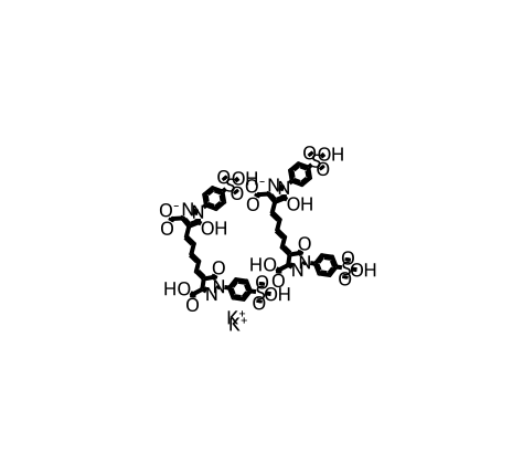 O=C(O)C1=NN(c2ccc(S(=O)(=O)O)cc2)C(=O)C1=CC=CC=Cc1c(C(=O)[O-])nn(-c2ccc(S(=O)(=O)O)cc2)c1O.O=C(O)C1=NN(c2ccc(S(=O)(=O)O)cc2)C(=O)C1=CC=CC=Cc1c(C(=O)[O-])nn(-c2ccc(S(=O)(=O)O)cc2)c1O.[K+].[K+]